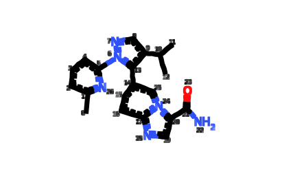 Cc1cccc(-n2ncc(C(C)C)c2-c2ccc3ncc(C(N)=O)n3c2)n1